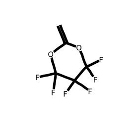 C=C1OC(F)(F)C(F)(F)C(F)(F)O1